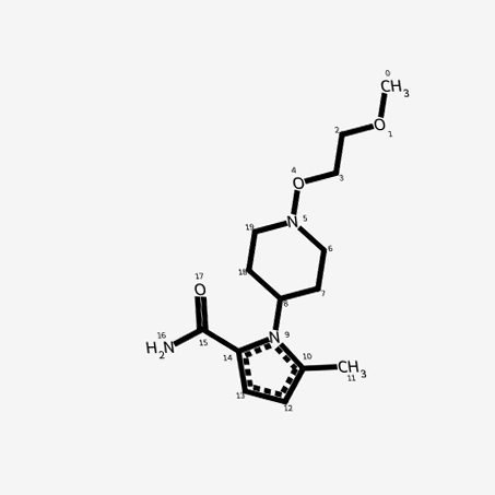 COCCON1CCC(n2c(C)ccc2C(N)=O)CC1